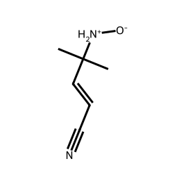 CC(C)(C=CC#N)[NH2+][O-]